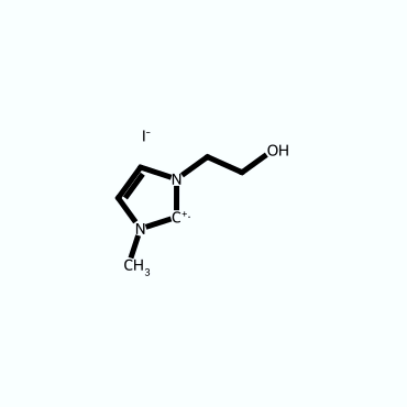 CN1[C+]N(CCO)C=C1.[I-]